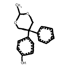 CC1OCC(c2ccccc2)(c2ccc(O)cc2)CO1